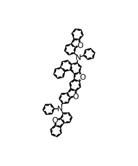 c1ccc(N(c2ccc3c(c2)oc2cc4oc5cc(N(c6ccccc6)c6cccc7c6oc6ccccc67)c6ccc7ccccc7c6c5c4cc23)c2cccc3c2oc2ccccc23)cc1